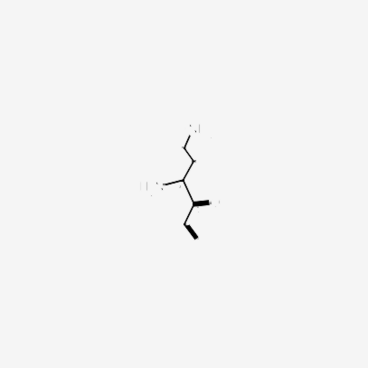 C=CC(=O)C(N)CCN